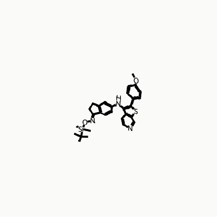 COc1ccc(-c2sc3cnccc3c2Nc2ccc3c(c2)CCC3=NO[Si](C)(C)C(C)(C)C)cc1